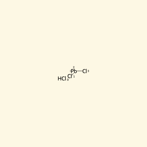 Cl.[Cl][Pb][Cl]